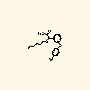 CCCCCCSC(C(=O)O)c1cccc(Oc2ccc(Br)cc2)c1